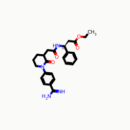 CCOC(=O)C[C@H](NC(=O)CC1CCCN(c2ccc(C(=N)N)cc2)C1=O)c1ccccc1